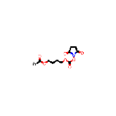 CC(C)C(=O)OCCCCOC(=O)ON1C(=O)CCC1=O